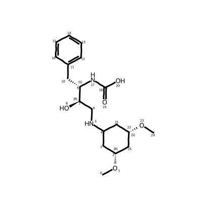 CO[C@@H]1CC(NC[C@@H](O)[C@H](Cc2ccccc2)NC(=O)O)C[C@H](OC)C1